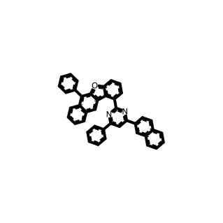 c1ccc(-c2cc(-c3ccc4ccccc4c3)nc(-c3cccc4oc5c(-c6ccccc6)c6ccccc6cc5c34)n2)cc1